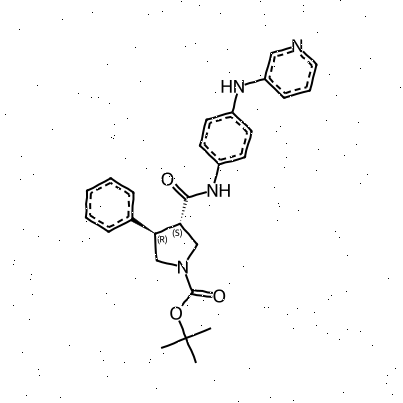 CC(C)(C)OC(=O)N1C[C@@H](C(=O)Nc2ccc(Nc3cccnc3)cc2)[C@H](c2ccccc2)C1